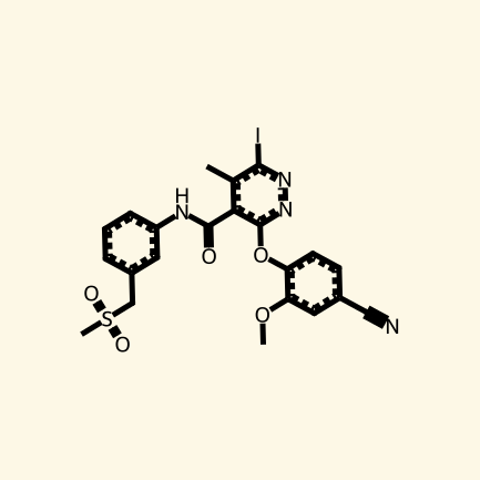 COc1cc(C#N)ccc1Oc1nnc(I)c(C)c1C(=O)Nc1cccc(CS(C)(=O)=O)c1